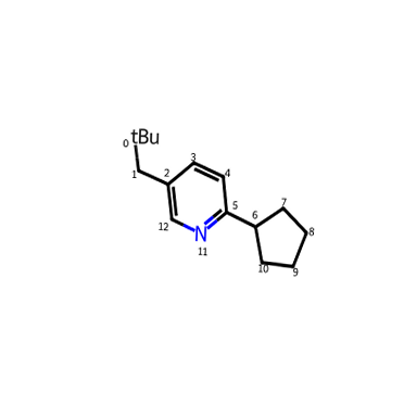 CC(C)(C)Cc1ccc(C2CCCC2)nc1